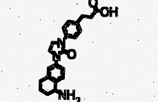 NC1CCCc2cc(N3CCN(c4ccc(CCC(=O)O)cc4)C3=O)ccc21